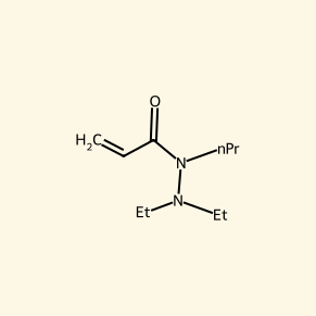 C=CC(=O)N(CCC)N(CC)CC